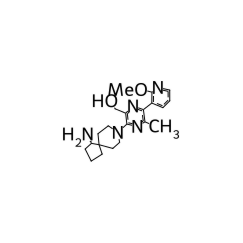 COc1ncccc1-c1nc(CO)c(N2CCC3(CCC[C@H]3N)CC2)nc1C